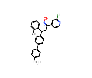 Cc1ccccc1C(C/C(=N/O)c1ccnc(Cl)c1)c1ccc(-c2ccc(C(=O)O)cc2)cc1